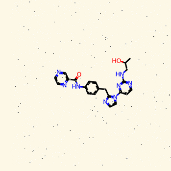 CC(O)CNc1nccc(-n2ccnc2Cc2ccc(NC(=O)c3cnccn3)cc2)n1